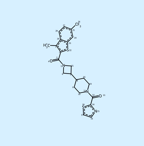 Cc1c(C(=O)N2CC(C3CCN(C(=O)c4nccs4)CC3)C2)sc2cc(C(F)(F)F)ccc12